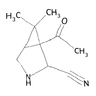 CC(=O)C12C(C#N)NCC1C2(C)C